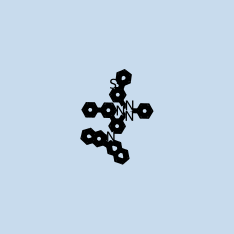 C1=CC2C=c3c(n(-c4ccc(-c5nc(-c6ccccc6)nc(-c6ccc7sc8ccccc8c7c6)n5)c(-c5cccc(-c6ccccc6)c5)c4)c4cc5ccccc5cc34)=CC2C=C1